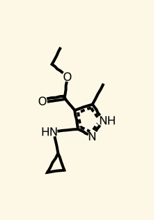 CCOC(=O)c1c(NC2CC2)n[nH]c1C